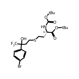 CC(C)(C)OC(=O)N[C@@H](CCSCCC(O)(c1ccc(Br)cc1)C(F)(F)F)C(=O)OC(C)(C)C